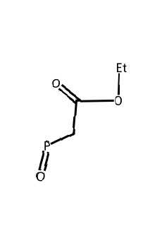 CCOC(=O)CP=O